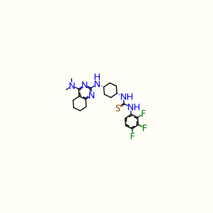 CN(C)c1nc(N[C@H]2CC[C@@H](NC(=S)Nc3ccc(F)c(F)c3F)CC2)nc2c1CCCC2